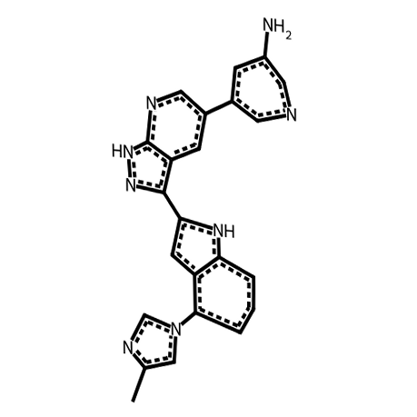 Cc1cn(-c2cccc3[nH]c(-c4n[nH]c5ncc(-c6cncc(N)c6)cc45)cc23)cn1